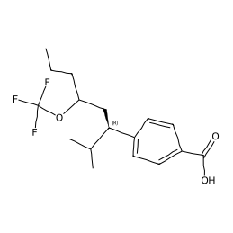 CCCC(C[C@@H](c1ccc(C(=O)O)cc1)C(C)C)OC(F)(F)F